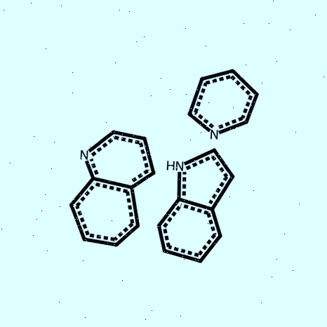 c1ccc2[nH]ccc2c1.c1ccc2ncccc2c1.c1ccncc1